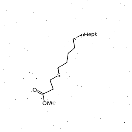 [CH2]OC(=O)CCSCCCCCCCCCCCC